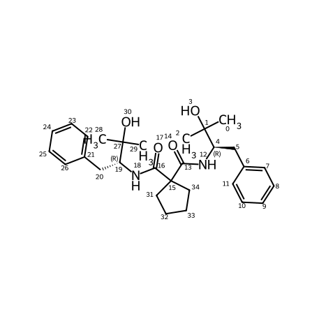 CC(C)(O)[C@@H](Cc1ccccc1)NC(=O)C1(C(=O)N[C@H](Cc2ccccc2)C(C)(C)O)CCCC1